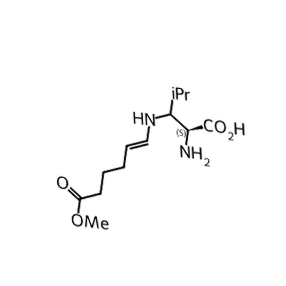 COC(=O)CCCC=CNC(C(C)C)[C@H](N)C(=O)O